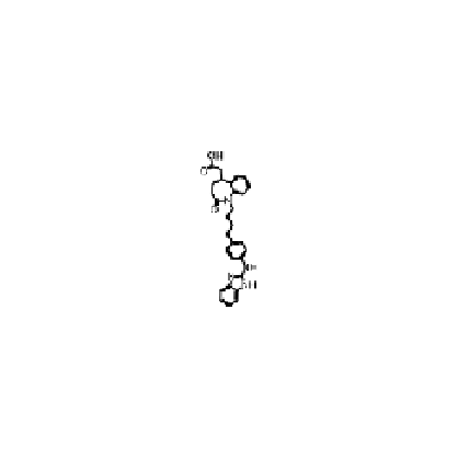 O=C(O)CC1CCC(=O)N(CCCCc2ccc(Nc3nc4ccccc4[nH]3)cc2)c2ccccc21